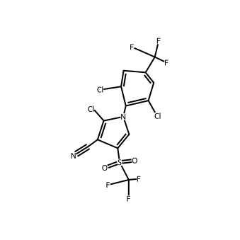 N#Cc1c(S(=O)(=O)C(F)(F)F)cn(-c2c(Cl)cc(C(F)(F)F)cc2Cl)c1Cl